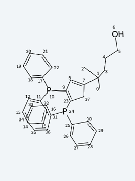 CC(C)(CCCO)C1=CC(P(c2ccccc2)c2ccccc2)=C(P(c2ccccc2)c2ccccc2)C1